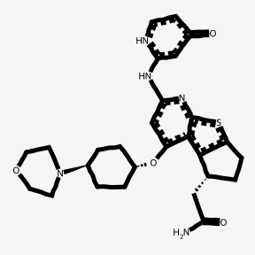 NC(=O)C[C@H]1CCc2sc3nc(Nc4cc(=O)cc[nH]4)cc(O[C@H]4CC[C@H](N5CCOCC5)CC4)c3c21